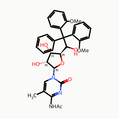 COc1ccccc1C(c1ccccc1)(c1ccccc1OC)C(O)[C@H]1O[C@@H](n2cc(C)c(NC(C)=O)nc2=O)[C@H](O)[C@@H]1O